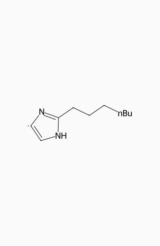 CCCCCCCc1n[c]c[nH]1